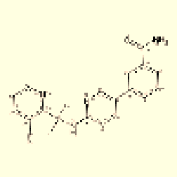 CC(C)(Nc1ncc(-c2cccc(C(N)=O)c2)cn1)c1ncccc1F